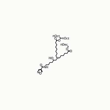 CCCCCCCCCCCOC(=O)CCCCCN(CCCCCCCC(=O)OC(CCCCCCCC)CCCCCCCC)CC(O)CCCCNC(=O)c1cnoc1